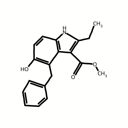 CCc1[nH]c2ccc(O)c(Cc3ccccc3)c2c1C(=O)OC